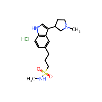 CNS(=O)(=O)CCCc1ccc2[nH]cc(C3CCN(C)C3)c2c1.Cl